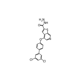 NNC(=O)c1cc2c(Oc3ccc(-c4cc(Cl)cc(Cl)c4)cc3)cncc2s1